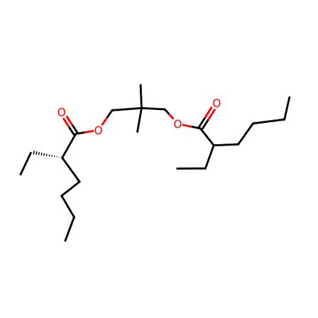 CCCCC(CC)C(=O)OCC(C)(C)COC(=O)[C@@H](CC)CCCC